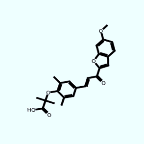 COc1ccc2cc(C(=O)/C=C/c3cc(C)c(OC(C)(C)C(=O)O)c(C)c3)oc2c1